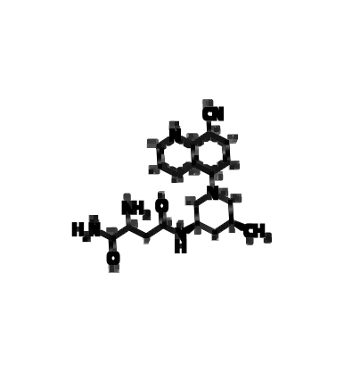 C[C@H]1C[C@@H](NC(=O)CC(N)C(N)=O)CN(c2ccc(C#N)c3ncccc23)C1